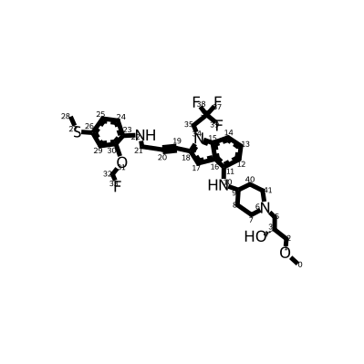 COC[C@H](O)CN1CCC(Nc2cccc3c2cc(C#CCNc2ccc(SC)cc2OCF)n3CC(F)(F)F)CC1